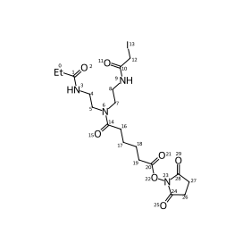 CCC(=O)NCCN(CCNC(=O)CI)C(=O)CCCCC(=O)ON1C(=O)CCC1=O